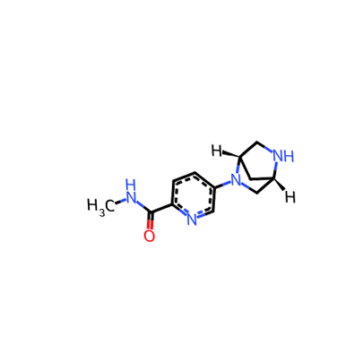 CNC(=O)c1ccc(N2C[C@@H]3C[C@H]2CN3)cn1